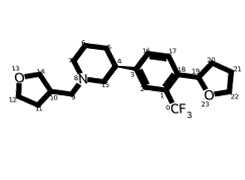 FC(F)(F)c1cc([C@@H]2CCCN(CC3CCOC3)C2)ccc1C1CCCO1